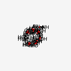 C=C(C)NCCSCC1O[C@@H]2O[C@@H]3C(CO)O[C@@H](O[C@@H]4C(CO)O[C@@H](O[C@@H]5C(CC(CC)SCCNC(=O)Cc6c[nH]cn6)O[C@@H](O[C@@H]6C(CO)O[C@H](O[C@@H]7C(CO)O[C@H](O[C@@H]8C(CO)O[C@H](O[C@H]1[C@H](O)C2O)C(O)[C@H]8O)[C@@H](O)C7O)[C@@H](O)C6O)[C@@H](O)C5O)[C@@H](O)C4O)C(O)[C@H]3O